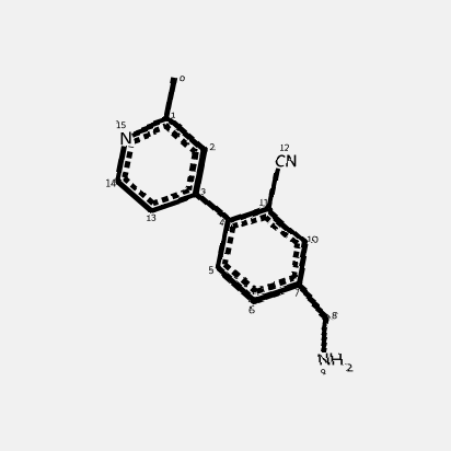 Cc1cc(-c2ccc(CN)cc2C#N)ccn1